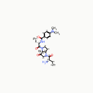 CC(C)C[C@H](NC(=O)c1ccc(N(C)C)cc1)C(=O)N1CCC2[C@H]1C(=O)CN2C(=O)[C@@H](N)CC(C)C